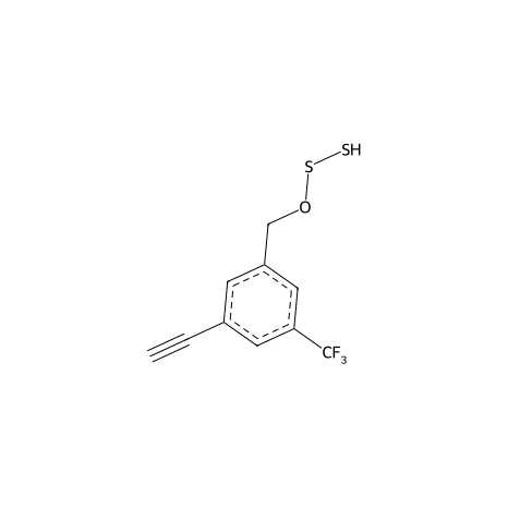 C#Cc1cc(COSS)cc(C(F)(F)F)c1